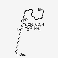 CC/C=C\C/C=C\C/C=C\C/C=C\C/C=C\C/C=C\CCC(=O)O[C@H](COC(=O)CCCCCCCCC/C=C\CCCCCCCCCC)COP(=O)(O)OC[C@H](N)C(=O)O